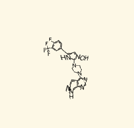 Cl.Fc1ccc(-c2cnc(N3CCN(c4ncnc5[nH]ncc45)CC3)[nH]2)cc1C(F)(F)F